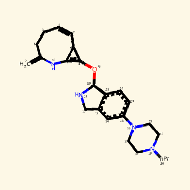 C=C1CC/C=C\C2C(=C2OC2NCc3cc(N4CCN(CCC)CC4)ccc32)N1